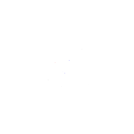 CON1C(=O)N(OC)C(OC)(OC)C1C